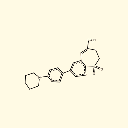 O=C(O)C1=Cc2cc(-c3ccc(N4CCCCC4)cc3)ccc2S(=O)(=O)CC1